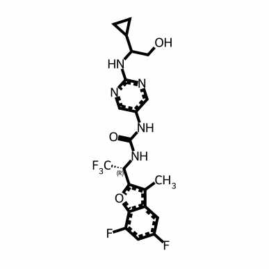 Cc1c([C@@H](NC(=O)Nc2cnc(NC(CO)C3CC3)nc2)C(F)(F)F)oc2c(F)cc(F)cc12